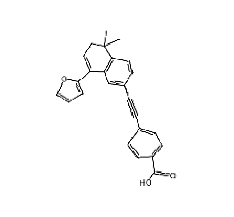 CC1(C)CC=C(c2ccco2)c2cc(C#Cc3ccc(C(=O)O)cc3)ccc21